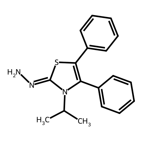 CC(C)n1c(-c2ccccc2)c(-c2ccccc2)s/c1=N\N